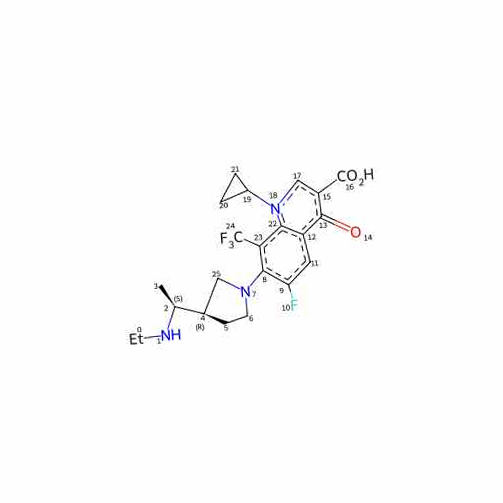 CCN[C@@H](C)[C@@H]1CCN(c2c(F)cc3c(=O)c(C(=O)O)cn(C4CC4)c3c2C(F)(F)F)C1